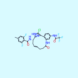 Cc1cc(F)c(C(=O)N[C@H]2C/C=C/CCC(=O)Nc3cc(NC(=O)C(F)(F)F)ccc3-c3nc2[nH]c3Cl)c(F)c1